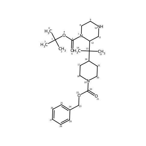 CC(C)(C)OC(=O)N1CCNCC1C(C)(C)C1CCN(C(=O)OCc2ccccc2)CC1